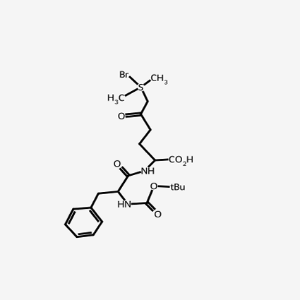 CC(C)(C)OC(=O)NC(Cc1ccccc1)C(=O)NC(CCC(=O)CS(C)(C)Br)C(=O)O